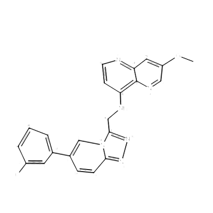 COc1cnc2c(NCc3nnc4ccc(-c5cccc(F)c5)cn34)ccnc2c1